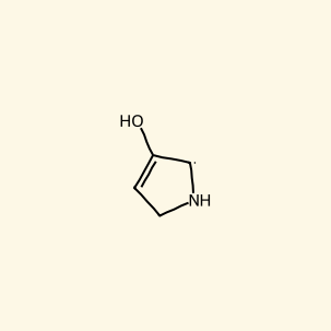 OC1=CCN[CH]1